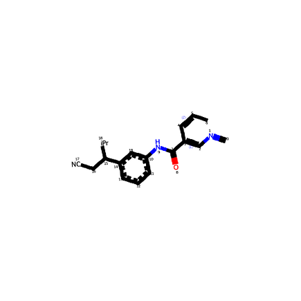 C=N/C=C(\C=C/C)C(=O)Nc1cccc(C(CC#N)C(C)C)c1